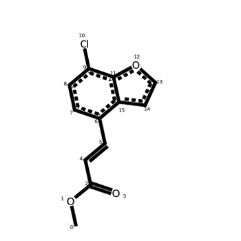 COC(=O)C=Cc1ccc(Cl)c2occc12